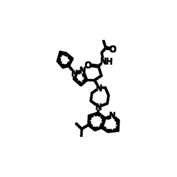 CC(=O)CNC(=O)CC(c1ccn(-c2ccccc2)n1)N1CCCN(c2cc(C(C)C)cc3cccnc23)CC1